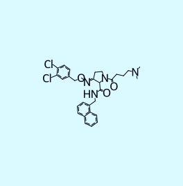 CN(C)CCCC(=O)N1CCC(=NOCc2ccc(Cl)c(Cl)c2)C1C(=O)NCc1cccc2ccccc12